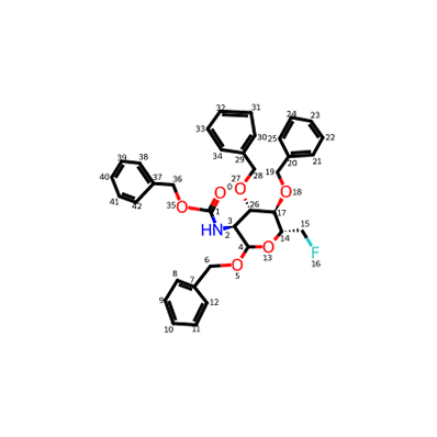 O=C(N[C@@H]1C(OCc2ccccc2)O[C@@H](CF)[C@H](OCc2ccccc2)[C@H]1OCc1ccccc1)OCc1ccccc1